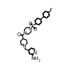 Nc1cc(CN2CCC(C(=O)N3CCN(S(=O)(=O)c4ccc(-c5ccc(F)cc5)cc4)CC3)CC2)ccn1